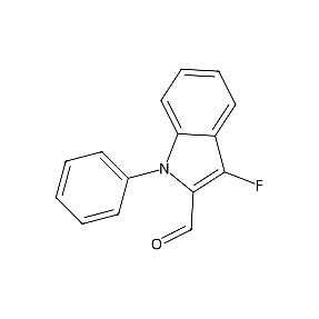 O=Cc1c(F)c2ccccc2n1-c1ccccc1